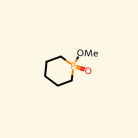 COP1(=O)CCCCC1